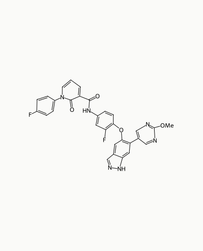 COc1ncc(-c2cc3[nH]ncc3cc2Oc2ccc(NC(=O)c3cccn(-c4ccc(F)cc4)c3=O)cc2F)cn1